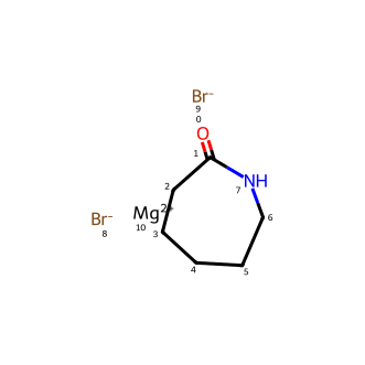 O=C1CCCCCN1.[Br-].[Br-].[Mg+2]